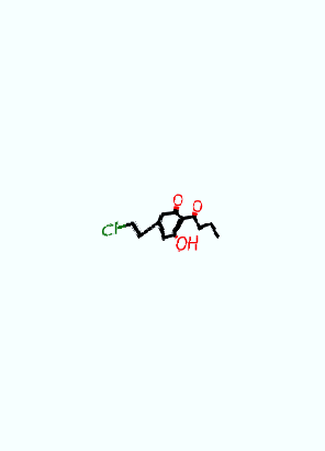 CCCC(=O)C1=C(O)CC(CCCl)CC1=O